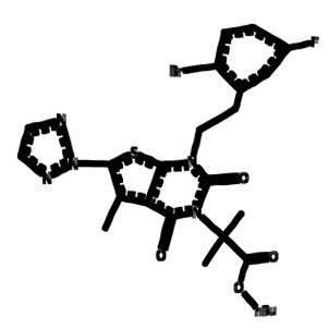 CCCCOC(=O)C(C)(C)n1c(=O)c2c(C)c(-n3nccn3)sc2n(CCc2cc(F)ccc2Br)c1=O